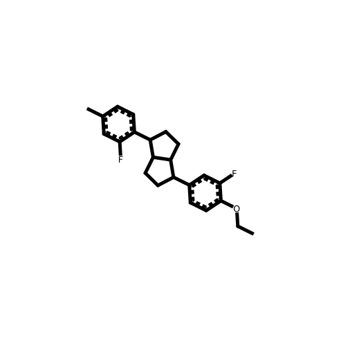 CCOc1ccc(C2CCC3C(c4ccc(C)cc4F)CCC23)cc1F